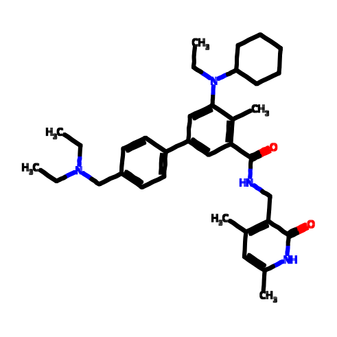 CCN(CC)Cc1ccc(-c2cc(C(=O)NCc3c(C)cc(C)[nH]c3=O)c(C)c(N(CC)C3CCCCC3)c2)cc1